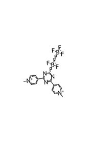 C[n+]1ccc(-c2ncnc(-c3cc[n+](C)cc3)n2)cc1.F[B-](F)(F)F.F[B-](F)(F)F